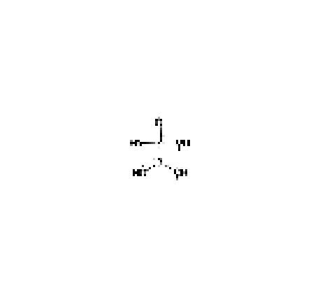 O=P(O)(S)B(O)O